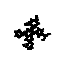 N[C@]1(CO)CC2=C(c3cnn(C(F)F)c3)[C@H](c3ccc(F)cc3Cl)N=C(c3nccs3)N2C1